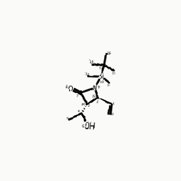 C=C[C@H]1[C@H](C(C)O)C(=O)N1[Si](C)(C)C(C)(C)C